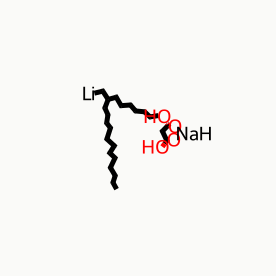 O=C(O)CC(=O)O.[Li][CH2]C(CCCCCCC)CCCCCCCCCCCC.[NaH]